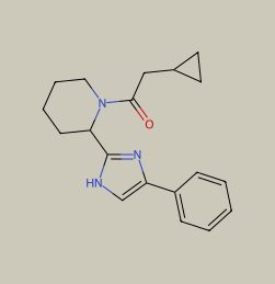 O=C(CC1CC1)N1CCCCC1c1nc(-c2ccccc2)c[nH]1